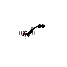 C[C@](N)(COP(=O)(O)O)C(=O)Nc1ccc(OCCCCc2ccc(-c3ccccc3)cc2)cc1